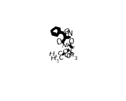 CC(C)(C)ON(C=O)CCOc1noc(-c2ccccc2)c1C(N)=O